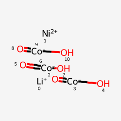 [Li+].[Ni+2].[O]=[Co-][OH].[O]=[Co-][OH].[O]=[Co-][OH]